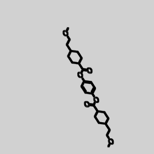 COCCC1CCC(C(=O)Oc2ccc(OC(=O)C3CCC(CCOC)CC3)cc2)CC1